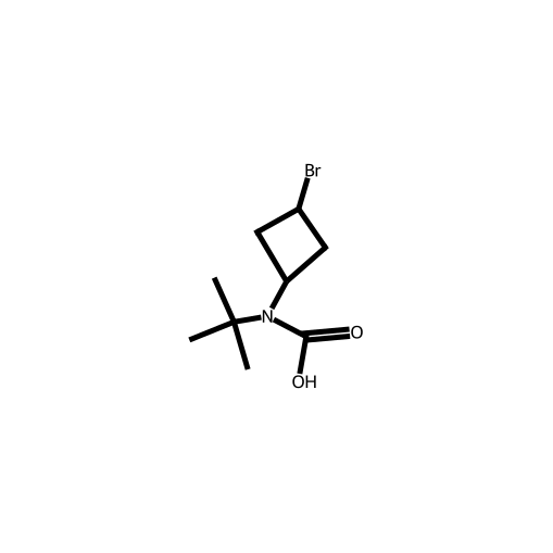 CC(C)(C)N(C(=O)O)C1CC(Br)C1